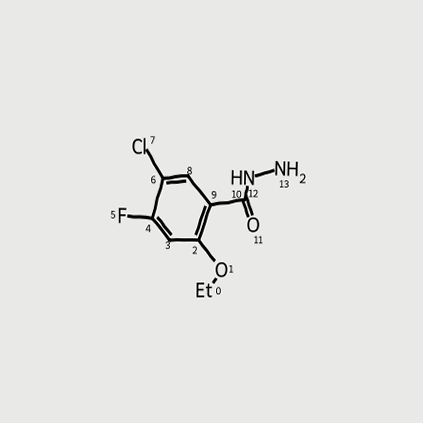 CCOc1cc(F)c(Cl)cc1C(=O)NN